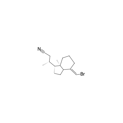 C[C@H](CC#N)[C@H]1CCC2C(=CBr)CCC[C@@]21C